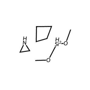 C1CCC1.C1CN1.CO[SiH2]OC